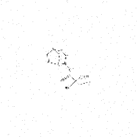 CC(C)(C)C(CO)(C(=O)O)C(=O)OC1CCC2C=CC1CC2